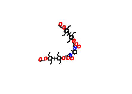 CCc1cc(C(C)(C)c2cc(CC)c(OCC3CN(c4cccc(N5CC(COc6cc(CC)c(C(C)(C)c7cc(CC)c(OCC8CO8)cc7CC)cc6CC)OC5=O)c4C)C(=O)O3)cc2CC)c(CC)cc1OCC1CO1